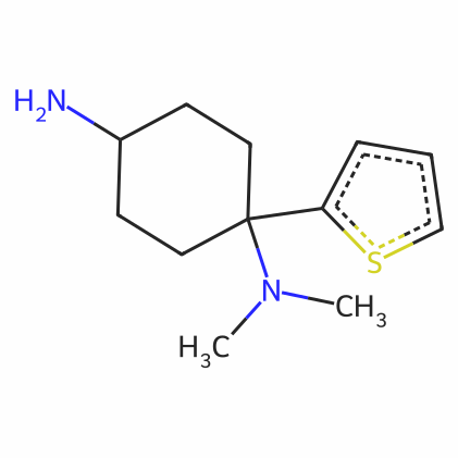 CN(C)C1(c2cccs2)CCC(N)CC1